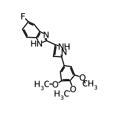 COc1cc(-c2cc(-c3nc4cc(F)ccc4[nH]3)[nH]n2)cc(OC)c1OC